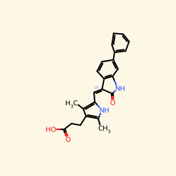 Cc1[nH]c(/C=C2\C(=O)Nc3cc(-c4ccccc4)ccc32)c(C)c1CCC(=O)O